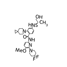 COc1ccc(NC(=O)c2ccc(NS[C@@H](C)CO)cc2N2CCC3(CC2)CC3)nc1N1CCC(F)(F)CC1